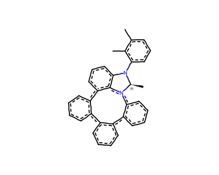 Cc1cccc(N2c3cccc4c5ccccc5c5ccccc5c5ccccc5n(c34)[C@@H]2C)c1C